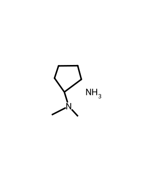 CN(C)C1CCCC1.N